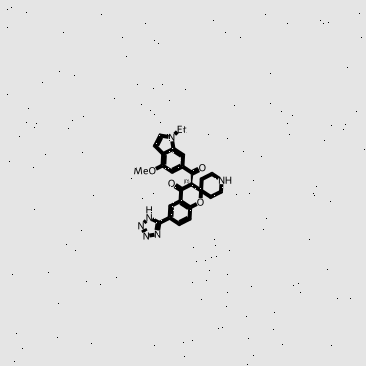 CCn1ccc2c(OC)cc(C(=O)[C@@H]3C(=O)c4cc(-c5nnn[nH]5)ccc4OC34CCNCC4)cc21